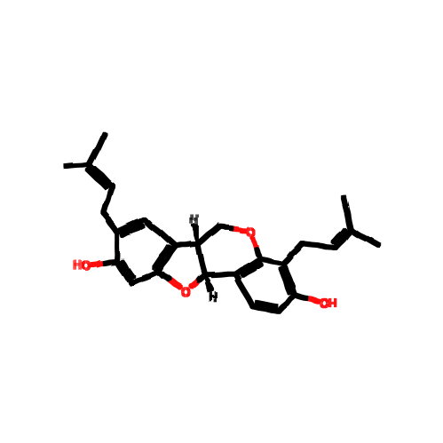 CC(C)=CCc1cc2c(cc1O)O[C@H]1c3ccc(O)c(CC=C(C)C)c3OC[C@@H]21